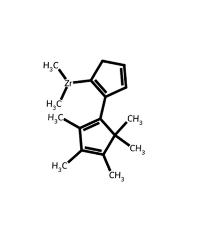 CC1=C(C)C(C)(C)C(C2=[C]([Zr]([CH3])[CH3])CC=C2)=C1C